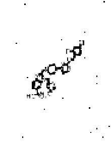 Cn1cnc(Cn2c(CN3CCC(c4ccnc(OCc5ccc(Cl)cc5F)n4)CC3)nc3ccc(C(=O)O)cc32)c1